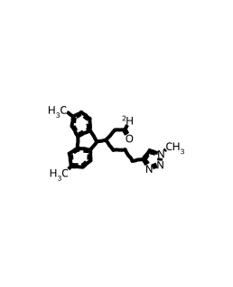 [2H]C(=O)CC(CCCc1cn(C)nn1)C1c2ccc(C)cc2-c2cc(C)ccc21